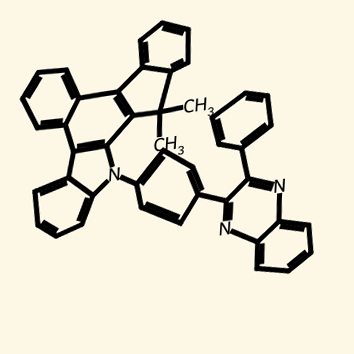 CC1(C)c2ccccc2-c2c1c1c(c3ccccc23)c2ccccc2n1-c1ccc(-c2nc3ccccc3nc2-c2ccccc2)cc1